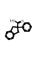 O=C(O)C1(c2ccccc2)Cc2ccccc2C1